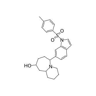 Cc1ccc(S(=O)(=O)n2ccc3ccc(C4CCC(O)CC5CCCCN54)cc32)cc1